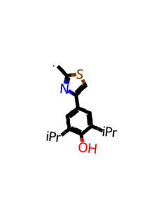 [CH2]c1nc(-c2cc(C(C)C)c(O)c(C(C)C)c2)cs1